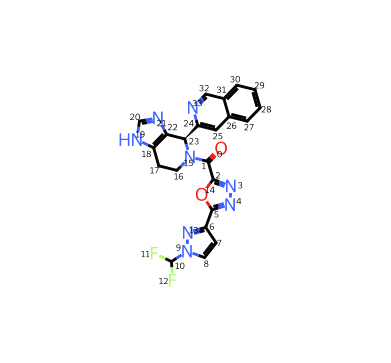 O=C(c1nnc(-c2ccn(C(F)F)n2)o1)N1CCc2[nH]cnc2[C@H]1c1cc2ccccc2cn1